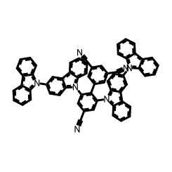 N#Cc1cc(C#N)cc(-c2c(-n3c4ccccc4c4cc(-n5c6ccccc6c6ccccc65)ccc43)cc(C#N)cc2-n2c3ccccc3c3cc(-n4c5ccccc5c5ccccc54)ccc32)c1